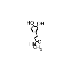 CNC(=O)/C=C/c1ccc(O)c(O)c1